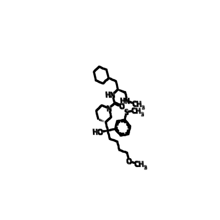 CNC[C@H](CC1CCCCC1)NC(=O)N1CCC[C@@H]([C@@](O)(CCCCOC)c2cccc(SC)c2)C1